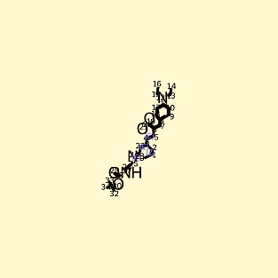 C\C=C/C(/C=C/c1cc2ccc(N(CC)CC)cc2oc1=O)=C\C=N\CCNC(=O)OC(C)(C)C